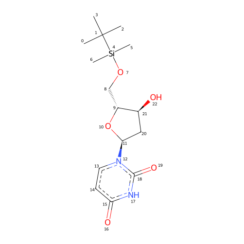 CC(C)(C)[Si](C)(C)OC[C@H]1O[C@H](n2ccc(=O)[nH]c2=O)C[C@@H]1O